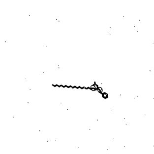 CCCCCCCCCCCCCCCCCCOCC(CC(C)C)OCc1ccccc1